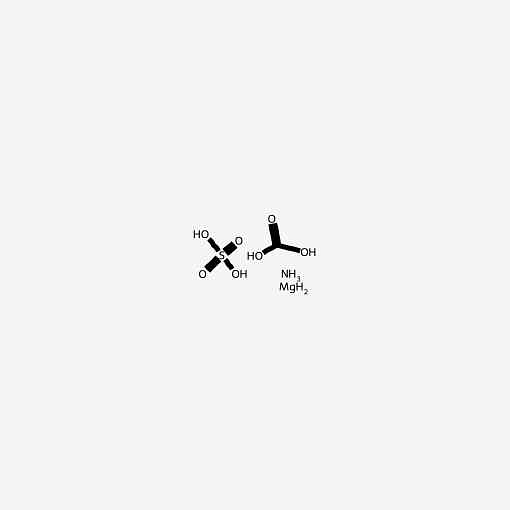 N.O=C(O)O.O=S(=O)(O)O.[MgH2]